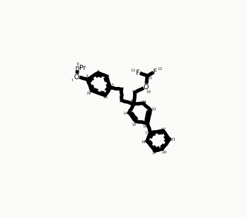 CCCOc1ccc(CCC2(COC(F)F)C=CC(c3ccccc3)=CC2)cc1